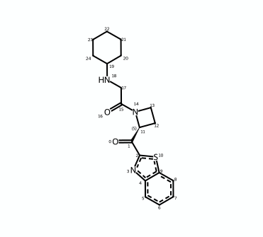 O=C(c1nc2ccccc2s1)[C@@H]1CCN1C(=O)CNC1CCCCC1